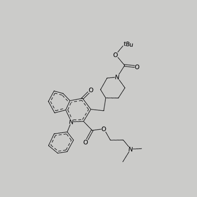 CN(C)CCOC(=O)c1c(CC2CCN(C(=O)OC(C)(C)C)CC2)c(=O)c2ccccc2n1-c1ccccc1